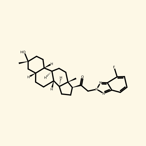 C[C@@]1(O)CC[C@H]2[C@H](CC[C@@H]3[C@@H]2CC[C@]2(C)[C@@H](C(=O)Cn4nc5cccc(F)c5n4)CC[C@@H]32)C1